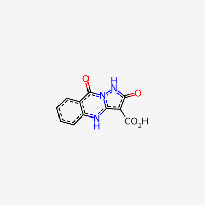 O=C(O)c1c(=O)[nH]n2c(=O)c3ccccc3[nH]c12